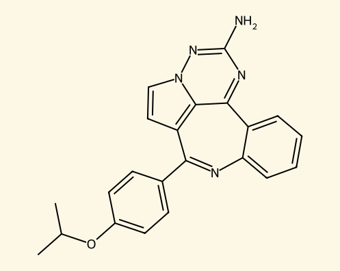 CC(C)Oc1ccc(C2=Nc3ccccc3-c3nc(N)nn4ccc2c34)cc1